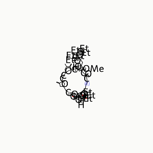 C=C1CC2CC[C@@]34C[C@H]5O[C@H]6C(O3)C(O[Si](CC)(CC)CC)C(C/C=C/CC(=O)CC3[C@@H](OC)C(CC(CO[Si](CC)(CC)CC)O[Si](CC)(CC)CC)O[C@H]3CC3OC(CCC1O2)CC(C)C3=C)O[C@H]6C5O4